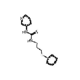 S=C(NCCCOc1ccccc1)Nc1cccnc1